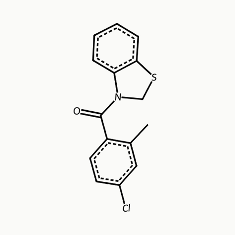 Cc1cc(Cl)ccc1C(=O)N1CSc2ccccc21